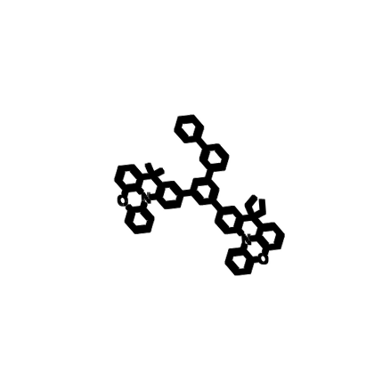 CCC1(CC)c2cc(-c3cc(-c4cccc(-c5ccccc5)c4)cc(-c4ccc5c(c4)C(C)(C)c4cccc6c4N5c4ccccc4O6)c3)ccc2N2c3ccccc3Oc3cccc1c32